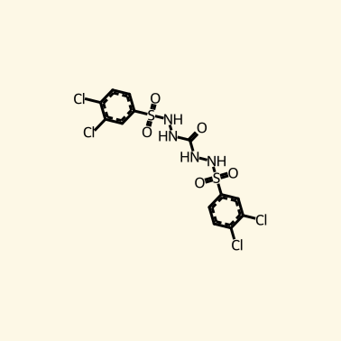 O=C(NNS(=O)(=O)c1ccc(Cl)c(Cl)c1)NNS(=O)(=O)c1ccc(Cl)c(Cl)c1